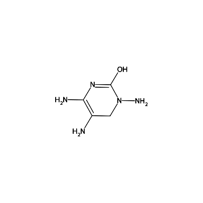 NC1=C(N)N=C(O)N(N)C1